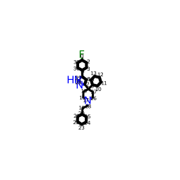 Fc1ccc(-c2cc(C3(c4ccccc4)CCN(CCc4ccccc4)CC3)n[nH]2)cc1